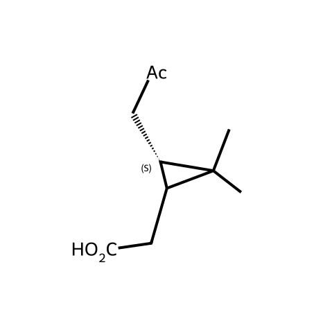 CC(=O)C[C@H]1C(CC(=O)O)C1(C)C